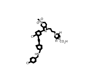 CS(=O)(=O)N1CCc2c(c(-c3ccc(Cl)c(C#Cc4ccc(CNCc5ccc(Cl)cc5)cc4)c3)nn2CCCN2C[C@@H]3C[C@H]2CN3C(=O)O)C1